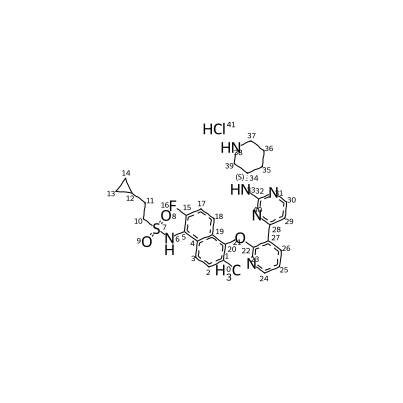 Cc1ccc2c(NS(=O)(=O)CCC3CC3)c(F)ccc2c1Oc1ncccc1-c1ccnc(N[C@H]2CCCNC2)n1.Cl